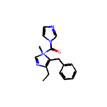 CCC1=C(Cc2ccccc2)[N+](C)(C(=O)n2ccnc2)C=N1